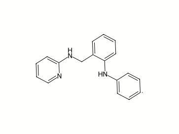 [c]1ccc(Nc2ccccc2CNc2ccccn2)cc1